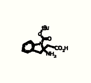 CC(C)(C)OC(=O)N1c2ccccc2CC1(N)CC(=O)O